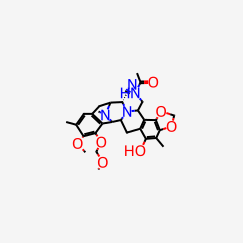 COCOc1c(OC)c(C)cc2c1C1C3Cc4c(O)c(C)c5c(c4C(CNC(C)=O)N3[C@@H](C#N)C(C2)N1C)OCO5